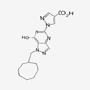 O=C(O)c1cnn(-c2nc(O)c3c(cnn3CC3CCCCCCC3)n2)c1